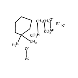 CC(=O)O.CC(=O)O.CC(=O)[O-].CC(=O)[O-].NC1(N)CCCCC1.[K+].[K+]